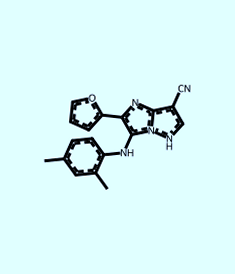 Cc1ccc(Nc2c(-c3ccco3)nc3c(C#N)c[nH]n23)c(C)c1